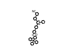 N#Cc1cccc(-c2cccc(-c3cc(-c4ccc(-c5ccc6c(c5)Oc5ccc7c(c5O6)-c5ccccc5C7(c5ccccc5)c5ccccc5)cc4)nc(C4=CCCC=C4)n3)c2)c1